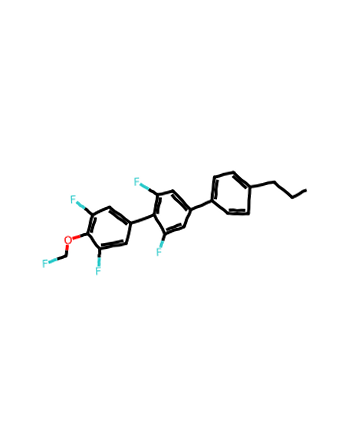 CCCc1ccc(-c2cc(F)c(-c3cc(F)c(OCF)c(F)c3)c(F)c2)cc1